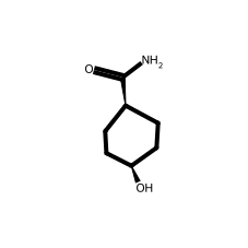 NC(=O)[C@H]1CC[C@@H](O)CC1